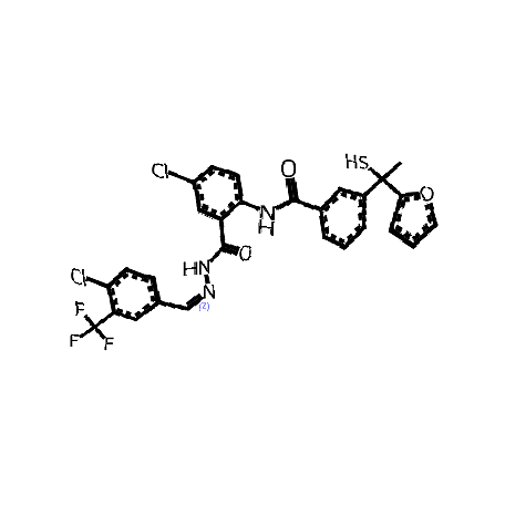 CC(S)(c1cccc(C(=O)Nc2ccc(Cl)cc2C(=O)N/N=C\c2ccc(Cl)c(C(F)(F)F)c2)c1)c1ccco1